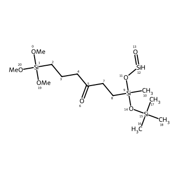 CO[Si](CCCC(=O)CC[Si](C)(O[SiH]=O)O[Si](C)(C)C)(OC)OC